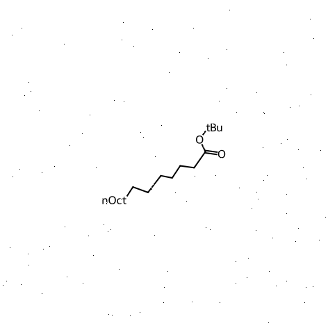 CCCCCCCCCCCCCCC(=O)OC(C)(C)C